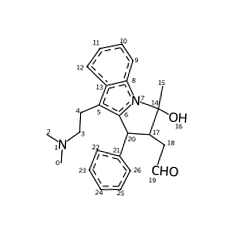 CN(C)CCc1c2n(c3ccccc13)C(C)(O)C(CC=O)C2c1ccccc1